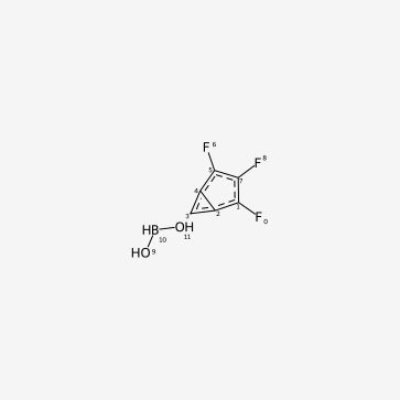 Fc1c2cc-2c(F)c1F.OBO